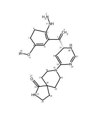 C=C(C1=C(NN)CCC(OC(C)C)=C1)[C@H]1C=C(N2CCC3(CCNC3=O)CC2)N=CN1